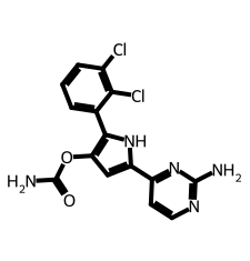 NC(=O)Oc1cc(-c2ccnc(N)n2)[nH]c1-c1cccc(Cl)c1Cl